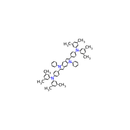 Cc1cc(C)cc(N(c2ccc(-c3cc4cc5c(cc(-c6ccc(N(c7cc(C)cc(C)c7)c7cc(C)cc(C)c7)cc6)n5-c5ccccc5)cc4n3-c3ccccc3)cc2)c2cc(C)cc(C)c2)c1